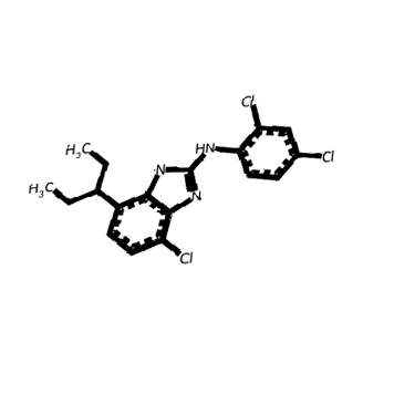 CCC(CC)c1ccc(Cl)c2c1[N]C(Nc1ccc(Cl)cc1Cl)=N2